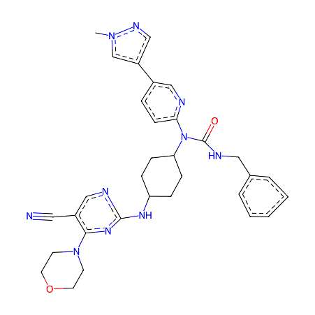 Cn1cc(-c2ccc(N(C(=O)NCc3ccccc3)C3CCC(Nc4ncc(C#N)c(N5CCOCC5)n4)CC3)nc2)cn1